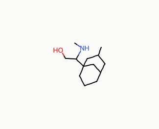 CNC(CO)C12CCCC(CC(C)C1)C2